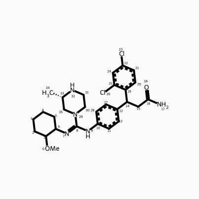 COC1CCCCC1/N=C(/Nc1ccc(C(CC(N)=O)c2ccc(Cl)cc2Cl)cc1)N1CCN[C@@H](C)C1